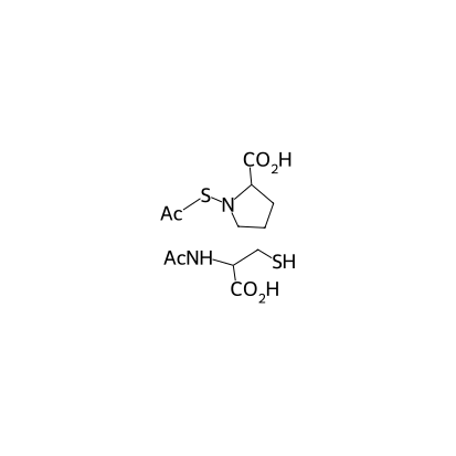 CC(=O)NC(CS)C(=O)O.CC(=O)SN1CCCC1C(=O)O